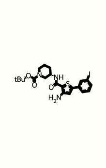 CC(C)(C)OC(=O)N1CCC[C@H](NC(=O)c2sc(-c3cccc(I)c3)cc2N)C1